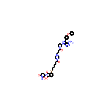 Nc1ncnc2c1c(-c1ccc(Oc3ccccc3)cc1)nn2[C@@H]1CCCN(C(=O)CCCN2CCN(C(=O)CCCCCCSc3cccc4c3C(=O)N(C3CCC(=O)NC3=O)C4=O)CC2)C1